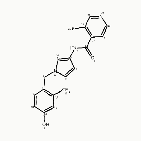 O=C(Nc1ccn(Cc2ccc(O)cc2C(F)(F)F)n1)c1ccncc1F